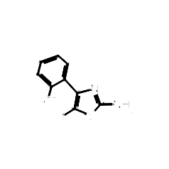 Nc1nc(-c2ccccc2C(F)(F)F)c(I)s1